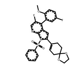 COc1ccc(F)cc1-c1c(F)cnc2c1cc(C1=CCC3(CC1)OCCO3)n2S(=O)(=O)c1ccccc1